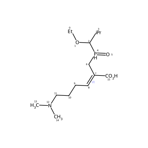 CCOC(C(C)C)[PH](=O)C/C(=C\CCCN(C)C)C(=O)O